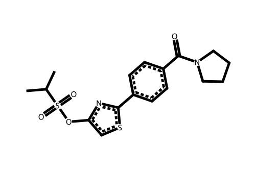 CC(C)S(=O)(=O)Oc1csc(-c2ccc(C(=O)N3CCCC3)cc2)n1